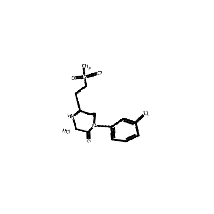 CS(=O)(=O)CCC1CN(c2cccc(Cl)c2)C(=O)CN1.Cl